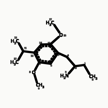 CCC(N)Cc1cc(OC)c(C(C)C)cc1OC